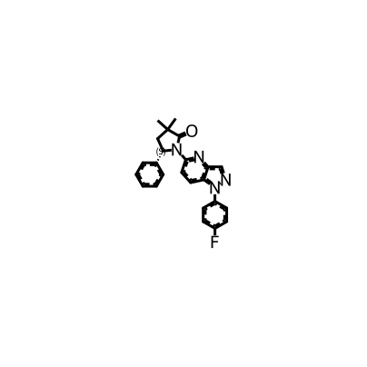 CC1(C)C[C@@H](c2ccccc2)N(c2ccc3c(cnn3-c3ccc(F)cc3)n2)C1=O